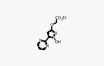 CCOC(=O)COc1cc(-c2ncccn2)n(O)n1